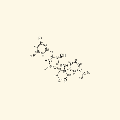 CC(=O)NC(Cc1cc(F)cc(F)c1)C(O)CNC1(c2cccc(C(C)C)c2)CCCOC1